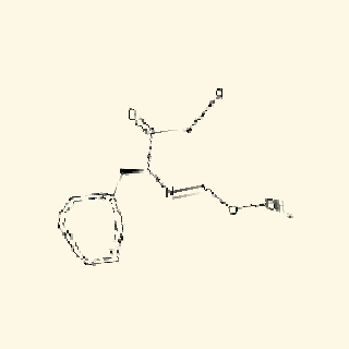 BOC=N[C@@H](Cc1ccccc1)C(=O)CCl